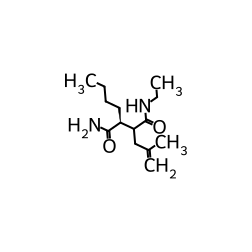 C=C(C)CC(C(=O)NCC)[C@H](CCCC)C(N)=O